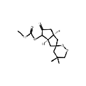 COC(=O)OC1C(=O)C[C@H]2CC3(C[C@@H]12)CC(C)(C)COO3